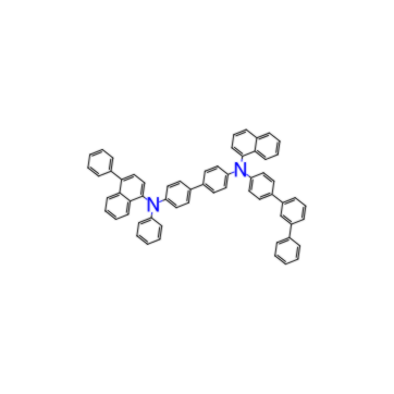 c1ccc(-c2cccc(-c3ccc(N(c4ccc(-c5ccc(N(c6ccccc6)c6ccc(-c7ccccc7)c7ccccc67)cc5)cc4)c4cccc5ccccc45)cc3)c2)cc1